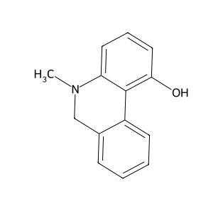 CN1Cc2ccccc2-c2c(O)cccc21